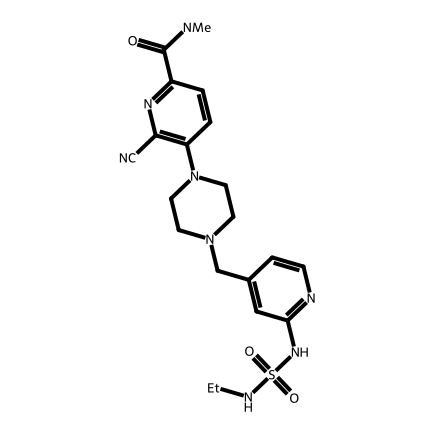 CCNS(=O)(=O)Nc1cc(CN2CCN(c3ccc(C(=O)NC)nc3C#N)CC2)ccn1